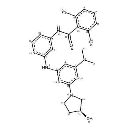 CC(C)c1cc(Nc2cc(NC(=O)c3c(Cl)cccc3Cl)ccn2)nc(N2CC[C@H](O)C2)n1